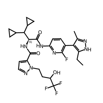 CCc1[nH]nc(C)c1-c1ccc(NC(=O)[C@@H](NC(=O)c2ccnn2CCC(O)C(F)(F)F)C(C2CC2)C2CC2)nc1F